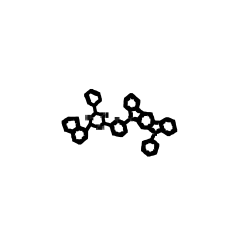 C1=CCC(C2NC(c3cccc(-n4c5ccccc5c5cc6c7ccccc7n(-c7ccccc7)c6cc54)n3)NC(c3cccc4ccccc34)N2)C=C1